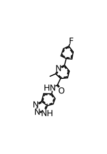 Cc1nc(-c2ccc(F)cc2)ccc1C(=O)Nc1ccc2[nH]nnc2c1